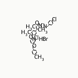 Br.CC(C(=O)N1CCN(Cc2ccc(Cl)cc2)CC1)=C(C)c1cc(C)c(Oc2ccc(OCc3ccc(C)cc3)cn2)c(Cl)c1